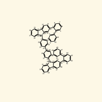 c1ccc(-c2ccccc2-c2ccc3c4ccccc4n(-c4ccc(-c5ccc(-n6c7ccccc7c7ccc(-c8ccccc8-c8ccccc8)cc76)cc5)cc4)c3c2)cc1